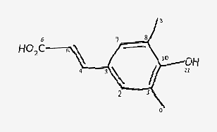 Cc1cc(C=CC(=O)O)cc(C)c1O